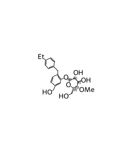 CCc1ccc(Cc2ccc(CO)cc2O[C@H]2O[C@H](CO)[C@@H](OC)[C@H](O)[C@H]2O)cc1